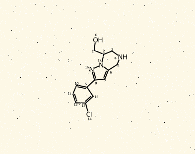 OCC1CNCc2cc(-c3cccc(Cl)c3)nn21